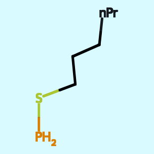 CCCCCCSP